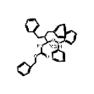 O=C(N[C@@](OP(c1ccccc1)c1ccccc1)(C(=O)O)C(Cc1ccccc1)Cc1ccccc1)OCc1ccccc1